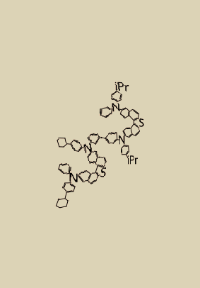 CC(C)c1ccc(N(c2ccccc2)c2ccc3c(ccc4sc5ccc6cc(N(c7ccc(-c8cccc(N(c9ccc(C%10CCCCC%10)cc9)c9ccc%10c(ccc%11sc%12ccc%13cc(N(c%14ccccc%14)c%14ccc(C%15CCCCC%15)cc%14)ccc%13c%12c%11%10)c9)c8)cc7)c7ccc(C(C)C)cc7)ccc6c5c43)c2)cc1